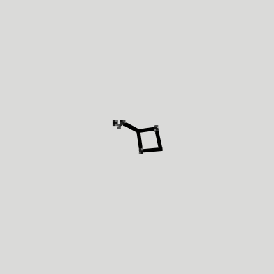 NC1SCS1